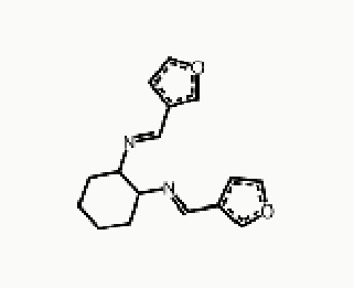 C(=N\C1CCCCC1/N=C/c1ccoc1)/c1ccoc1